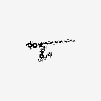 COCCOCCOCCOCCOCCCOc1nn([C@H]2CC[C@H](N3[C@@H]4CC[C@H]3COC4)CC2)cc1Nc1ncc(-c2ccc(C#N)c(O[C@@H](C)Cn3cnnn3)c2)cn1